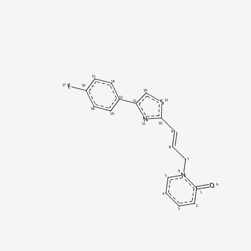 O=c1ccccn1CC=Cc1nc(-c2ccc(F)cc2)cs1